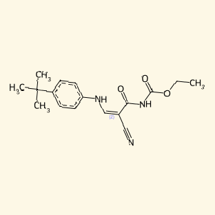 CCOC(=O)NC(=O)/C(C#N)=C\Nc1ccc(C(C)(C)C)cc1